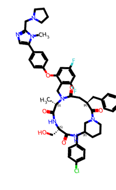 C[C@H]1C(=O)N[C@@H](CO)C(=O)N[C@@]2(Cc3ccc(Cl)cc3)CCCN(C2)C(=O)[C@H](Cc2ccccc2)CC(=O)N1Cc1c(F)cc(F)cc1Oc1ccc(-c2cnc(CN3CCCC3)n2C)cc1